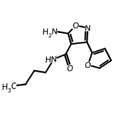 CCCCNC(=O)c1c(-c2ccco2)noc1N